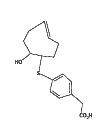 O=C(O)Cc1ccc(SC2CC/C=C/CCC2O)cc1